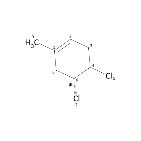 CC1=CCC(Cl)[C@H](Cl)C1